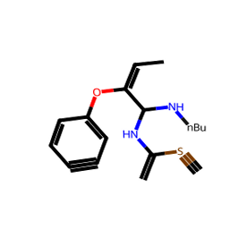 C#SC(=C)NC(NCCCC)/C(=C\C)Oc1cc#ccc1